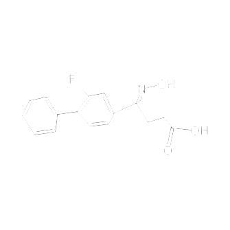 O=C(O)CCC(=NO)c1ccc(-c2ccccc2)c(F)c1